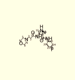 O=C(CCN1CCOCC1)Nc1c[nH]nc1C(=O)Nc1ccc(F)cc1